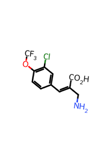 NC/C(=C/c1ccc(OC(F)(F)F)c(Cl)c1)C(=O)O